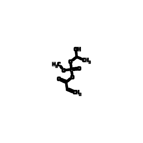 C=CC(=O)OP(=O)(OC)OC(C)O